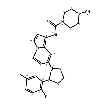 CN1CCN(C(=O)Nc2cnn3ccc(N4CCCC4c4cc(F)ccc4F)nc23)CC1